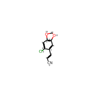 N#CC=Cc1cc2c(cc1Cl)OCO2